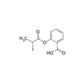 CC(I)C(=O)Oc1ccccc1C(=O)O